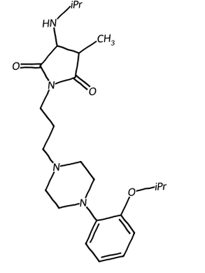 CC(C)NC1C(=O)N(CCCN2CCN(c3ccccc3OC(C)C)CC2)C(=O)C1C